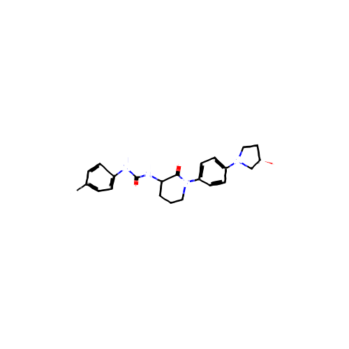 O=C(Nc1ccc(C(F)(F)F)cc1)NC1CCCN(c2ccc(N3CC[C@@H](O)C3)cc2)C1=O